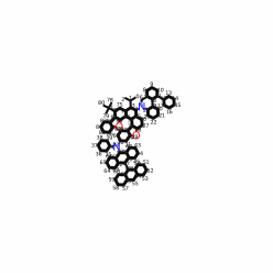 CC(C)c1c(N2Cc3cccc(-c4ccccc4)c3-c3ccccc32)c2ccc3oc4cc(N(c5ccccc5)c5c6ccccc6c(-c6c7ccccc7cc7ccccc67)c6ccccc56)ccc4c3c2c2c1cc(C(C)(C)C)c1c3ccccc3oc12